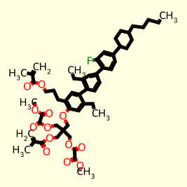 C=C(C)C(=O)OCCCc1cc(-c2ccc(-c3ccc(C4CCC(CCCCC)CC4)cc3F)cc2CC)c(CC)cc1OCC(COC(=O)C(=C)C)(COC(=O)C(=O)OC)COC(=O)C(=O)OC